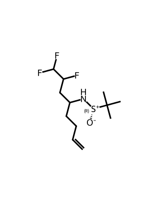 C=CCCC(CC(F)C(F)F)N[S@@+]([O-])C(C)(C)C